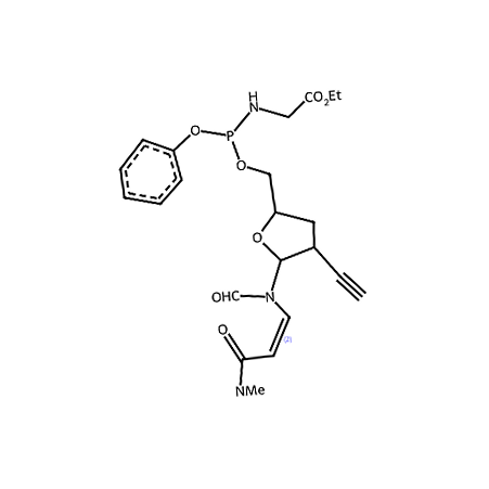 C#CC1CC(COP(NCC(=O)OCC)Oc2ccccc2)OC1N(C=O)/C=C\C(=O)NC